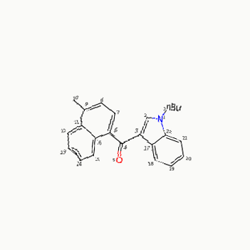 CCCCn1cc(C(=O)c2ccc(C)c3ccccc23)c2ccccc21